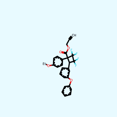 C#CCOC(=O)C1(c2ccc(OCC)cc2)C(c2cccc(Oc3ccccc3)c2)C(F)(F)C1(F)F